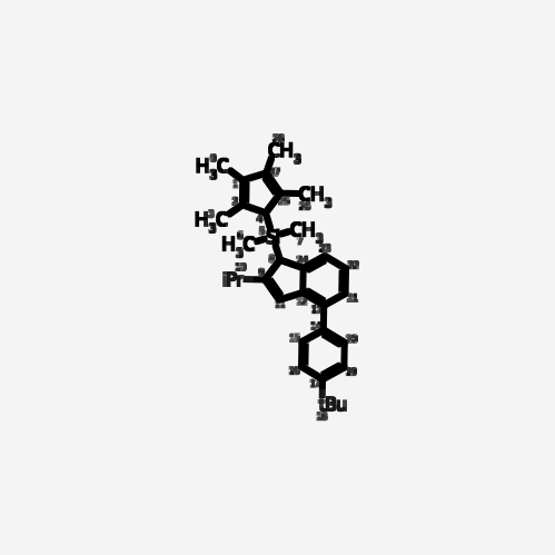 CC1=C(C)C([Si](C)(C)C2C(C(C)C)=Cc3c(-c4ccc(C(C)(C)C)cc4)cccc32)C(C)=C1C